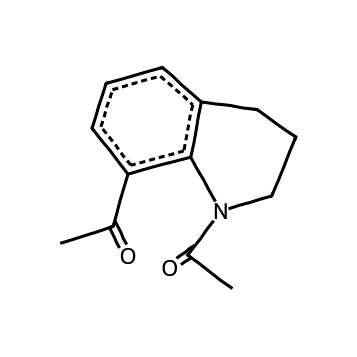 CC(=O)c1cccc2c1N(C(C)=O)CCC2